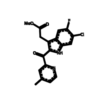 COC(=O)Cc1c(C(=O)c2cc(C)ccn2)[nH]c2cc(Cl)c(F)cc12